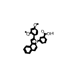 COc1ccc(-c2cc3c4ccccc4ccc3n2-c2cccc(C(=O)O)c2)c(OC)c1